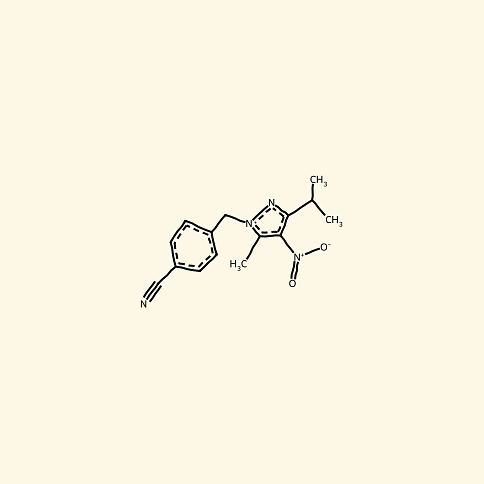 Cc1c([N+](=O)[O-])c(C(C)C)nn1Cc1ccc(C#N)cc1